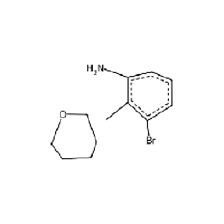 C1CCOCC1.Cc1c(N)cccc1Br